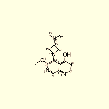 COc1ncc2ncnc(O)c2c1N1CC(N(C)C)C1